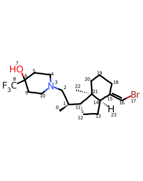 C[C@@H](CN1CCC(O)(C(F)(F)F)CC1)[C@H]1CC[C@@H]2/C(=C/Br)CCC[C@@]21C